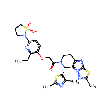 CCc1nc(N2CCCS2(O)O)ccc1OCC(=O)N1CCc2nc3sc(C)nn3c2[C@@H]1c1sc(C)nc1C